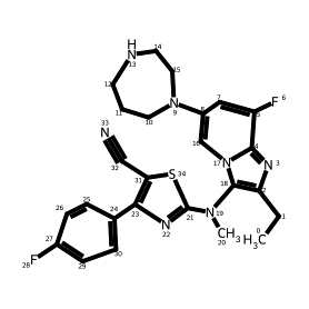 CCc1nc2c(F)cc(N3CCCNCC3)cn2c1N(C)c1nc(-c2ccc(F)cc2)c(C#N)s1